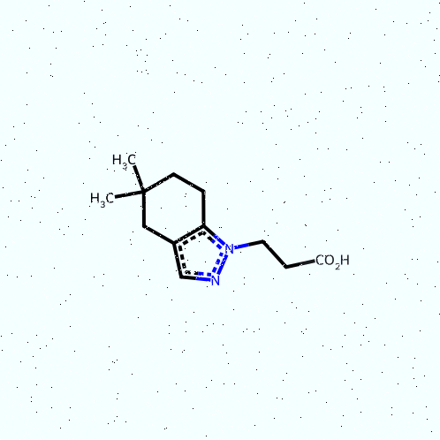 CC1(C)CCc2c(cnn2CCC(=O)O)C1